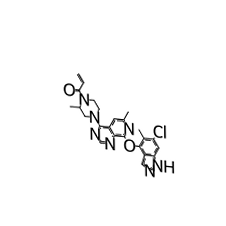 C=CC(=O)N1CCN(c2ncnc3c(Oc4c(C)c(Cl)cc5[nH]ncc45)nc(C)cc23)CC1C